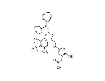 CC1=C(CC(=O)O)CC(OCCCN(Cc2ccc(C)c(C(F)(F)F)c2Cl)CC(C2=CC=CCC=C2)c2ccccc2)CC1